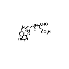 Cc1nc(=O)c2cc(CN(C)/C(S)=C/C=C/C(=O)NC(C=O)CCC(=O)O)ccc2[nH]1